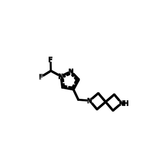 FC(F)n1cc(CN2CC3(CNC3)C2)cn1